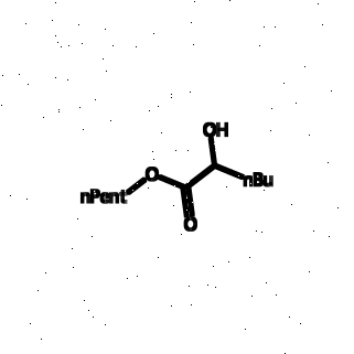 CCCCCOC(=O)C(O)CCCC